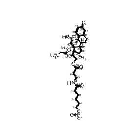 CCC(=O)O[C@@]1(C(=O)COC(=O)CCNC(=O)CCCCCO[N+](=O)[O-])[C@@H](C)C[C@H]2[C@@H]3CCC4=CC(=O)C=C[C@]4(C)[C@@]3(Cl)[C@@H](O)C[C@@]21C